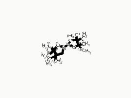 CC1(C)CB(B2OC(C)(C)C(C)(C)O2)OC1(C)C